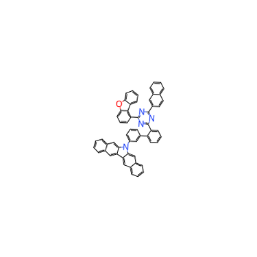 c1cc(-c2ccccc2-c2nc(-c3ccc4ccccc4c3)nc(-c3cccc4oc5ccccc5c34)n2)cc(-n2c3cc4ccccc4cc3c3cc4ccccc4cc32)c1